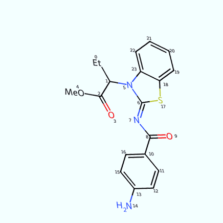 CCC(C(=O)OC)n1c(=NC(=O)c2ccc(N)cc2)sc2ccccc21